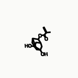 C=C(C)C(=O)OC1C2CC3(O)CC1CC(O)(C2)C3